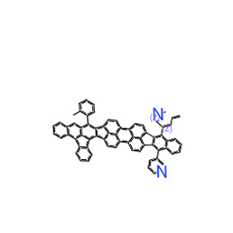 C=C/C=C(\C=N/C)c1c2c(c(-c3cccnc3)c3ccccc13)-c1ccc3c4ccc5c6c(ccc(c7ccc-2c1c73)c46)c1c(-c2ccccc2C)c2cc3ccccc3c3c4ccccc4c(c51)c23